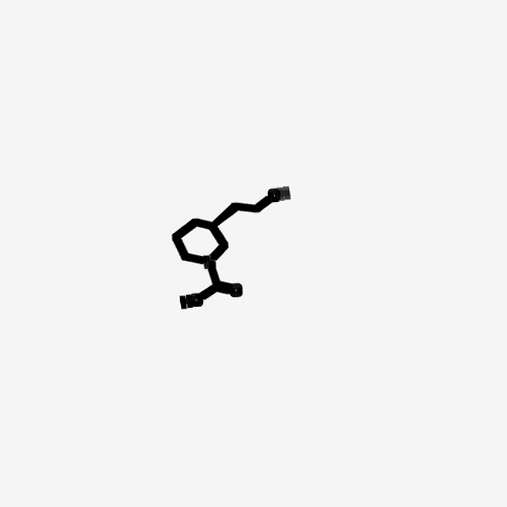 O=C(O)N1CCC[C@@H](CCO)C1